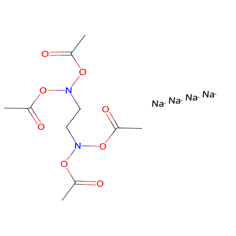 CC(=O)ON(CCN(OC(C)=O)OC(C)=O)OC(C)=O.[Na].[Na].[Na].[Na]